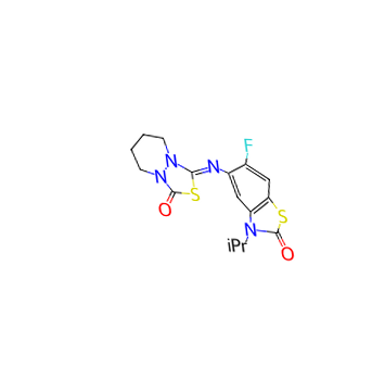 CC(C)n1c(=O)sc2cc(F)c(N=c3sc(=O)n4n3CCCC4)cc21